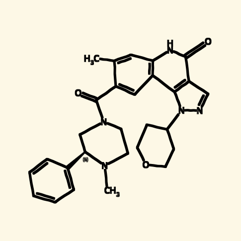 Cc1cc2[nH]c(=O)c3cnn(C4CCOCC4)c3c2cc1C(=O)N1CCN(C)[C@@H](c2ccccc2)C1